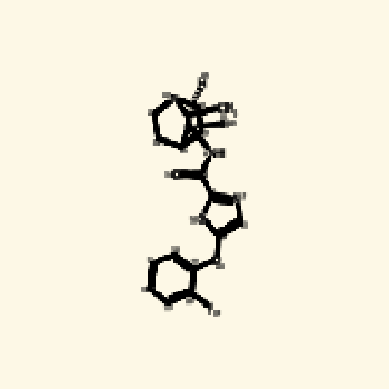 C[C@H]1[C@H](NC(=O)c2ncc(Oc3ccccc3F)s2)C2CCN1CC2